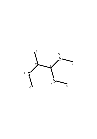 CSC(C)C(SC)SC